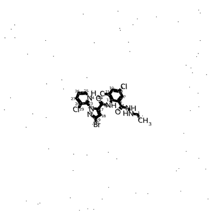 CCNNC(=O)c1cc(Cl)cc(C)c1NC(=O)c1cc(Br)nn1-c1ncccc1Cl